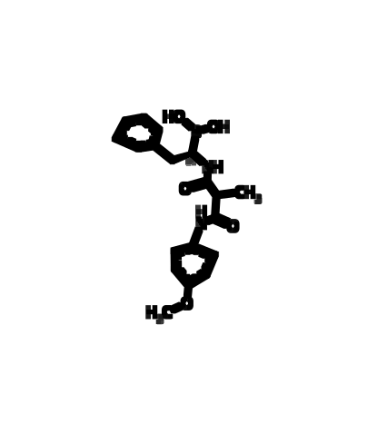 COc1ccc(NC(=O)C(C)C(=O)N[C@@H](Cc2ccccc2)B(O)O)cc1